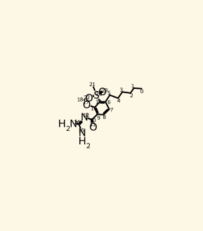 CCCCCCc1ccc(C(=O)N=C(N)N)c(OC)c1S(C)(=O)=O